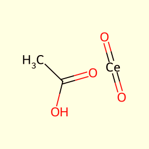 CC(=O)O.[O]=[Ce]=[O]